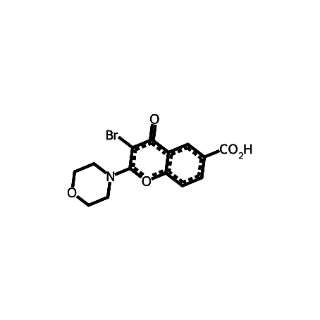 O=C(O)c1ccc2oc(N3CCOCC3)c(Br)c(=O)c2c1